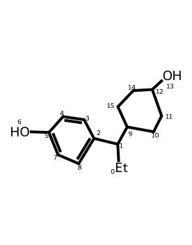 CCC(c1ccc(O)cc1)C1CCC(O)CC1